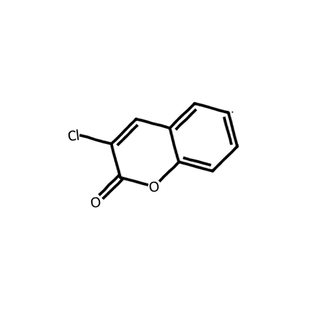 O=c1oc2cc[c]cc2cc1Cl